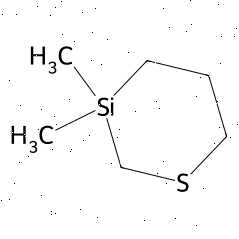 C[Si]1(C)CCCSC1